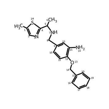 Cc1cnc(C(C)NCc2ccc(OCc3ccccc3)c(N)c2)s1